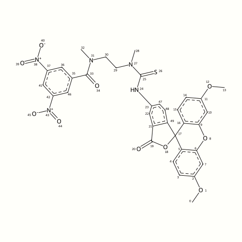 COc1ccc2c(c1)Oc1cc(OC)ccc1C21OC(=O)c2cc(NC(=S)N(C)CCN(C)C(=O)c3cc([N+](=O)[O-])cc([N+](=O)[O-])c3)ccc21